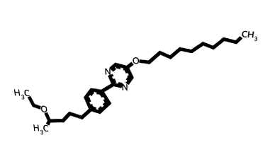 CCCCCCCCCCOc1cnc(-c2ccc(CCCC(C)OCC)cc2)nc1